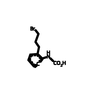 O=C(O)Nc1ccccc1CCCBr